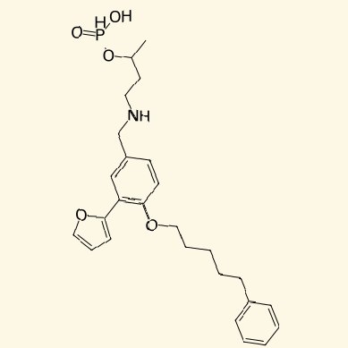 CC(CCNCc1ccc(OCCCCCc2ccccc2)c(-c2ccco2)c1)O[PH](=O)O